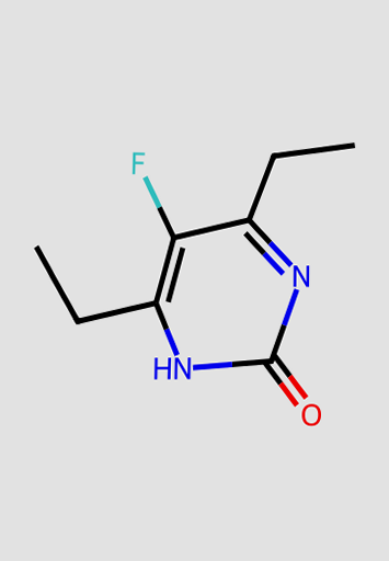 CCc1nc(=O)[nH]c(CC)c1F